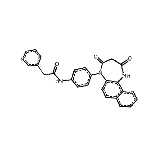 O=C(Cc1cccnc1)Nc1ccc(N2C(=O)CC(=O)Nc3c2ccc2ccccc32)cc1